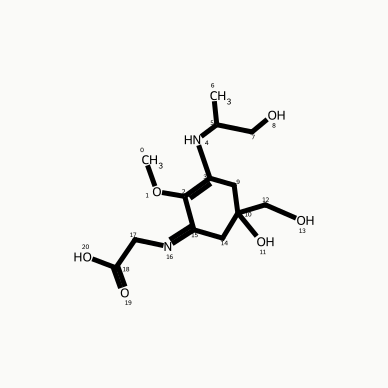 COC1=C(NC(C)CO)CC(O)(CO)CC1=NCC(=O)O